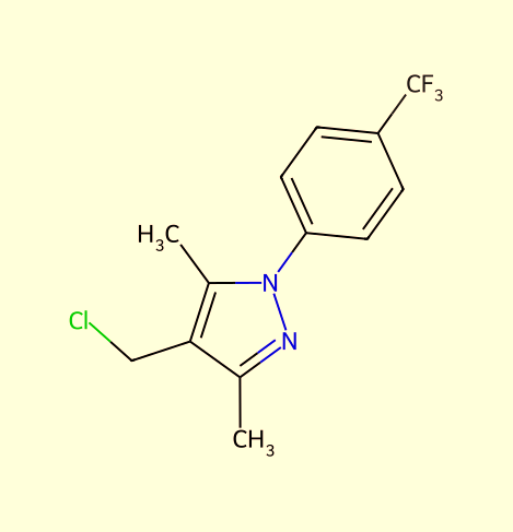 Cc1nn(-c2ccc(C(F)(F)F)cc2)c(C)c1CCl